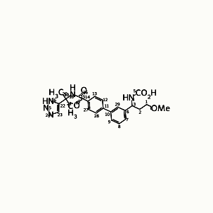 COCCC(NC(=O)O)c1cccc(-c2ccc(S(=O)(=O)NC(C)(C)c3cnn[nH]3)cc2)c1